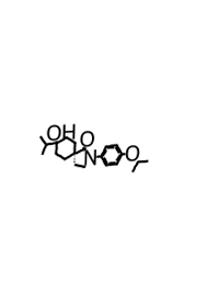 CC(C)Oc1ccc(N2CC[C@]3(CC[C@@](O)(C(C)C)CC3)C2=O)cc1